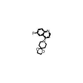 Fc1ccc2nc[c]c(N3CCC4(CC3)OCCO4)c2c1